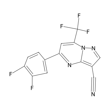 N#Cc1cnn2c(C(F)(F)F)cc(-c3ccc(F)c(F)c3)nc12